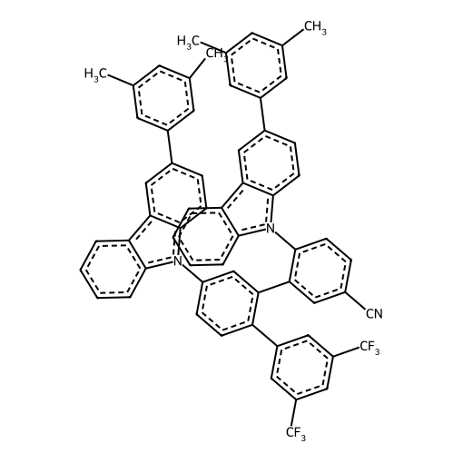 Cc1cc(C)cc(-c2ccc3c(c2)c2ccccc2n3-c2ccc(-c3cc(C(F)(F)F)cc(C(F)(F)F)c3)c(-c3cc(C#N)ccc3-n3c4ccccc4c4cc(-c5cc(C)cc(C)c5)ccc43)c2)c1